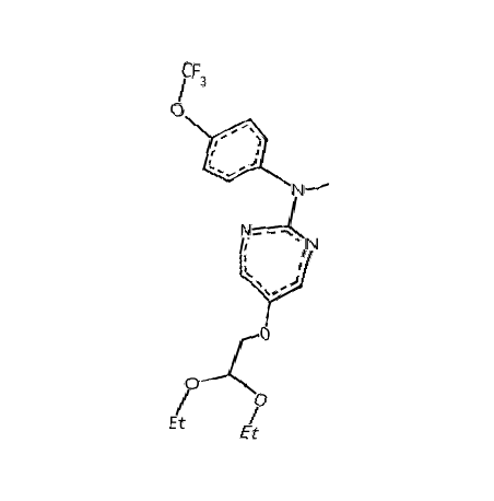 CCOC(COc1cnc(N(C)c2ccc(OC(F)(F)F)cc2)nc1)OCC